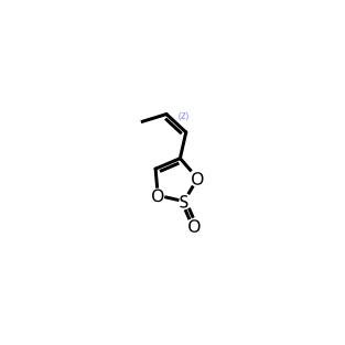 C/C=C\C1=COS(=O)O1